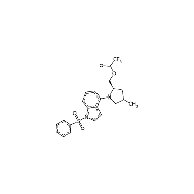 CC1C[C@H](COC(=O)C(F)(F)F)N(c2cccc3c2ccn3S(=O)(=O)c2ccccc2)C1